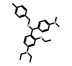 CCOc1cc(N(CC)CC)ccc1C(OCc1ccc(C)cc1)c1ccc(N(C)C)cc1